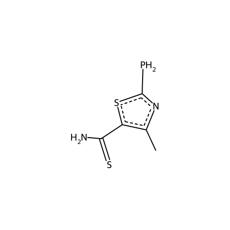 Cc1nc(P)sc1C(N)=S